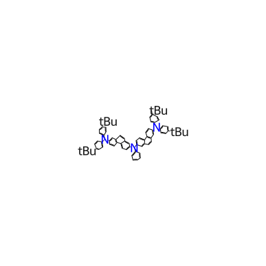 CC(C)(C)c1ccc(N(c2ccc(C(C)(C)C)cc2)c2ccc3c(ccc4cc(N(c5ccccc5)c5ccc6c(ccc7cc(N(c8ccc(C(C)(C)C)cc8)c8ccc(C(C)(C)C)cc8)ccc76)c5)ccc43)c2)cc1